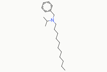 CCCCCCCCCCCN(Cc1ccccc1)C(C)C